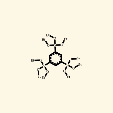 CCO[Si](OCC)(OCC)c1cc([Si](OCC)(OCC)OCC)cc([Si](OCC)(OCC)OCC)c1